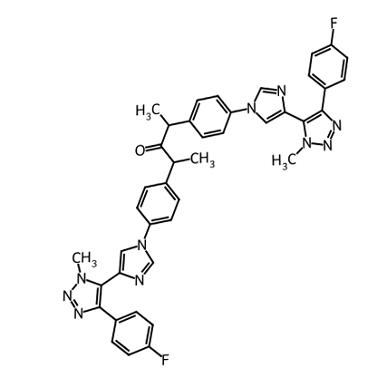 CC(C(=O)C(C)c1ccc(-n2cnc(-c3c(-c4ccc(F)cc4)nnn3C)c2)cc1)c1ccc(-n2cnc(-c3c(-c4ccc(F)cc4)nnn3C)c2)cc1